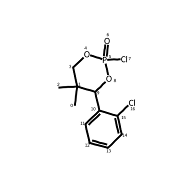 CC1(C)COP(=O)(Cl)OC1c1ccccc1Cl